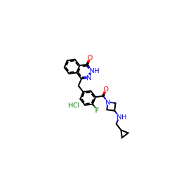 Cl.O=C(c1cc(Cc2n[nH]c(=O)c3ccccc23)ccc1F)N1CC(NCC2CC2)C1